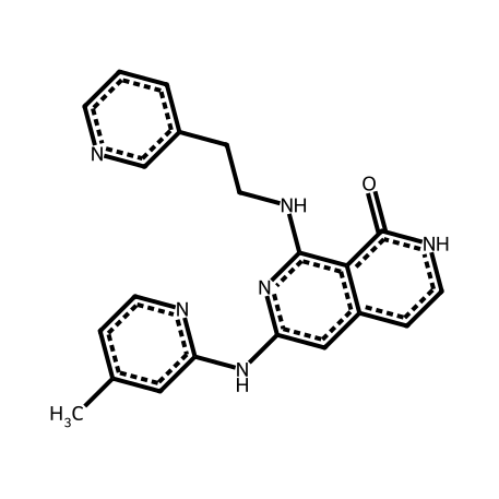 Cc1ccnc(Nc2cc3cc[nH]c(=O)c3c(NCCc3cccnc3)n2)c1